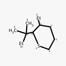 CCC1CCCSC1C(C)(C)CC